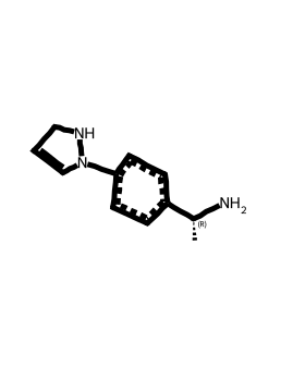 C[C@@H](N)c1ccc(N2C=CCN2)cc1